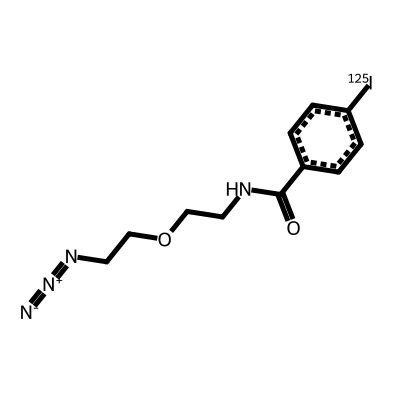 [N-]=[N+]=NCCOCCNC(=O)c1ccc([125I])cc1